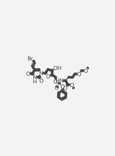 COCOCCC[C@H](NP(=O)(OCC1OC(n2cc(/C=C/Br)c(=O)[nH]c2=O)CC1O)Oc1ccccc1)C(=O)OC